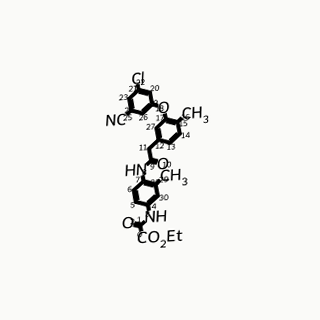 CCOC(=O)C(=O)Nc1ccc(NC(=O)Cc2ccc(C)c(Oc3cc(Cl)cc(C#N)c3)c2)c(C)c1